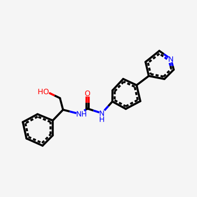 O=C(Nc1ccc(-c2ccncc2)cc1)NC(CO)c1ccccc1